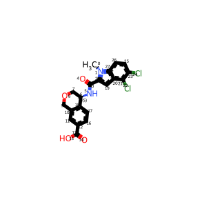 Cn1c(C(=O)N[C@@H]2COCc3cc(C(=O)O)ccc32)cc2c(Cl)c(Cl)ccc21